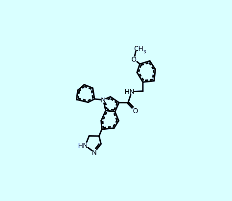 COc1cccc(CNC(=O)c2cn(-c3ccccc3)c3cc(C4C=NNC4)ccc23)c1